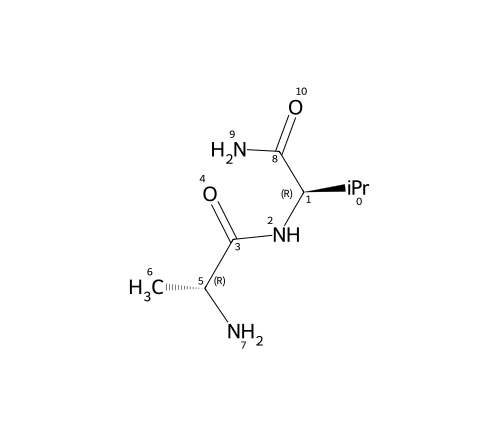 CC(C)[C@@H](NC(=O)[C@@H](C)N)C(N)=O